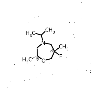 CC(C)N1C[C@@H](C)OC[C@@](C)(F)C1